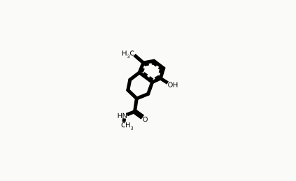 CNC(=O)C1CCc2c(C)ccc(O)c2C1